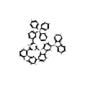 c1ccc([Si](c2ccccc2)(c2ccccc2)c2cccc(-c3nc(-c4cccc5oc6ccccc6c45)nc(-n4c5ccccc5c5cc(-n6c7ccccc7c7ccccc76)ccc54)n3)c2)cc1